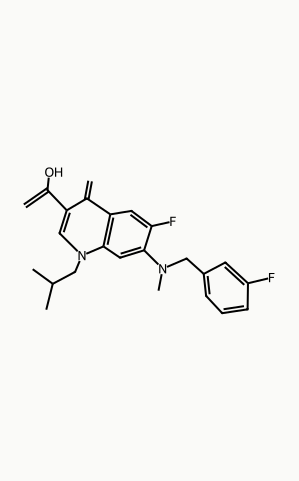 C=C(O)C1=CN(CC(C)C)c2cc(N(C)Cc3cccc(F)c3)c(F)cc2C1=C